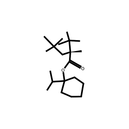 CC(C)C1(OC(=O)[C@](C)(CC(C)(C)C)C(C)(C)C)CCCCC1